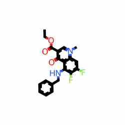 CCOC(=O)c1cn(C)c2cc(F)c(F)c(NCc3ccccc3)c2c1=O